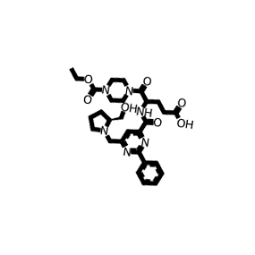 CCOC(=O)N1CCN(C(=O)C(CCC(=O)O)NC(=O)c2cc(CN3CCC[C@H]3CO)nc(-c3ccccc3)n2)CC1